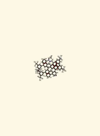 C=N/C=C(\C(=C(/C)c1ccccc1)N1c2ccc(-c3cc(C(C)(C)C)cc(C(C)(C)C)c3)cc2B2c3cc(-c4cc(C(C)(C)C)cc(C(C)(C)C)c4)ccc3N(c3c(-c4ccccc4)cncc3-c3ccccc3)c3cc(-n4c5ccc([Si](C)(C)C)cc5c5cc([Si](C)(C)C)ccc54)cc1c32)c1ccccc1